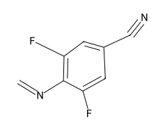 C=Nc1c(F)cc(C#N)cc1F